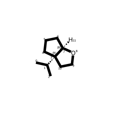 CC(C)[C@]12CCC[C@H]1OCC2